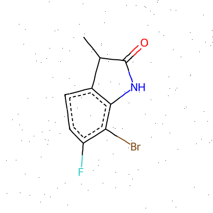 CC1C(=O)Nc2c1ccc(F)c2Br